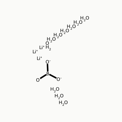 O.O.O.O.O.O.O.O.O.O.[Li+].[Li+].[Li+].[O-]B([O-])[O-]